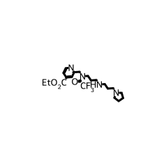 CCOC(=O)c1ccnc(CN(CCCNCCCN2CCCC2)C(=O)C(F)(F)F)c1